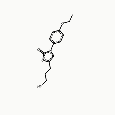 CCOc1ccc(-n2cc(CCCO)oc2=O)cc1